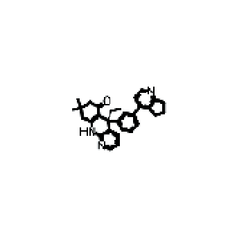 CC[C@]1(c2cccc(-c3ccnc4c3CCC4)c2)C2=C(CC(C)(C)CC2=O)Nc2ncccc21